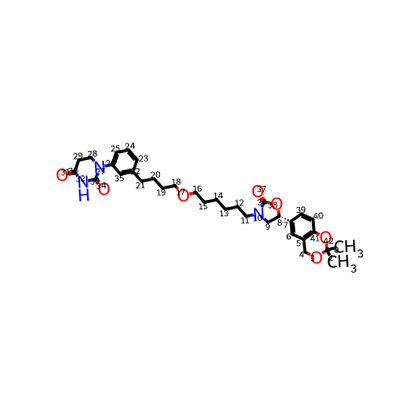 CC1(C)OCc2cc([C@@H]3CN(CCCCCCOCCCCc4cccc(N5CCC(=O)NC5=O)c4)C(=O)O3)ccc2O1